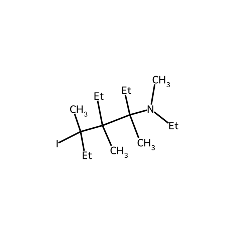 CCN(C)C(C)(CC)C(C)(CC)C(C)(I)CC